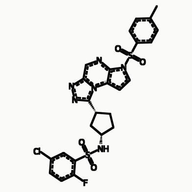 Cc1ccc(S(=O)(=O)n2ccc3c2ncc2nnc([C@@H]4CC[C@H](NS(=O)(=O)c5cc(Cl)ccc5F)C4)n23)cc1